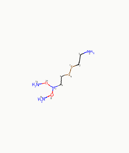 NCCSSCCN(ON)ON